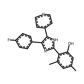 Cc1cc(C)c(-c2nc(-c3ccc(F)cc3)c(-c3ccncc3)[nH]2)c(O)c1